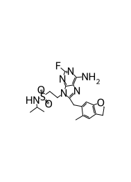 Cc1cc2c(cc1Cc1nc3c(N)nc(F)nc3n1CCS(=O)(=O)NC(C)C)OCC2